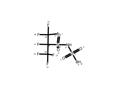 BS(=O)(=O)NS(=O)(=O)C(F)(C(F)(F)F)C(F)(F)F